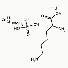 Cl.Cl.NCCCCC(N)C(=O)O.O=P(O)(O)O.[MgH2].[Zn]